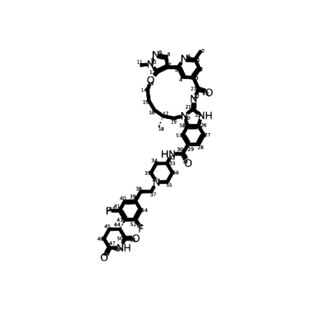 Cc1cc2cc(n1)-c1cnn(C)c1OCCC[C@@H](C)CN1/C(=N/C2=O)Nc2ccc(C(=O)NC3CCN(CCc4cc(F)c([C@H]5CCC(=O)NC5=O)c(F)c4)CC3)cc21